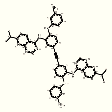 CC(C)c1ccc2c(Nc3cc(C#Cc4ccc(Sc5cccc(N)c5)c(Nc5ncnc6nc(C(C)C)ccc56)c4)ccc3Sc3cccc(N)c3)ncnc2n1